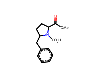 COC(=O)C1CCC(Cc2ccccc2)N1C(=O)O